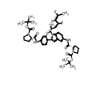 C=C(/C=C(F)\C(F)=C(/C)F)[C@@H]1Oc2cc(NC(=O)[C@@H]3CCCN3C(=O)OC(C)(C)C)ccc2-c2cc3cc(NC(=O)[C@@H]4CCCN4C(=O)OC(C)(C)C)ccc3n21